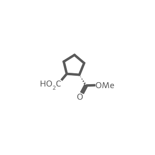 COC(=O)[C@H]1CCCC1C(=O)O